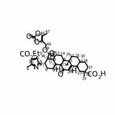 CCOC(=O)c1cc(C)nn1[C@H]1CC[C@@]2(C)[C@@H](CC[C@]3(C)[C@@H]2C(=O)C=C2[C@@H]4C[C@@](C)(C(=O)O)CC[C@]4(C)CC[C@]23C)[C@]1(C)C(=O)OCc1oc(=O)oc1C